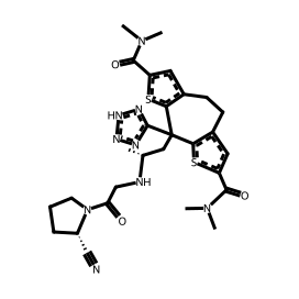 C[C@H](CC1(c2nn[nH]n2)c2sc(C(=O)N(C)C)cc2CCc2cc(C(=O)N(C)C)sc21)NCC(=O)N1CCC[C@H]1C#N